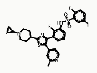 Cc1cc(-c2sc(C3CCN(C4CC4)CC3)nc2-c2cccc(NS(=O)(=O)c3cc(F)ccc3F)c2F)ccn1